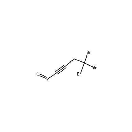 O=[C]C#CCC(Br)(Br)Br